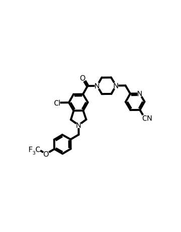 N#Cc1ccc(CN2CCN(C(=O)c3cc(Cl)c4c(c3)CN(Cc3ccc(OC(F)(F)F)cc3)C4)CC2)nc1